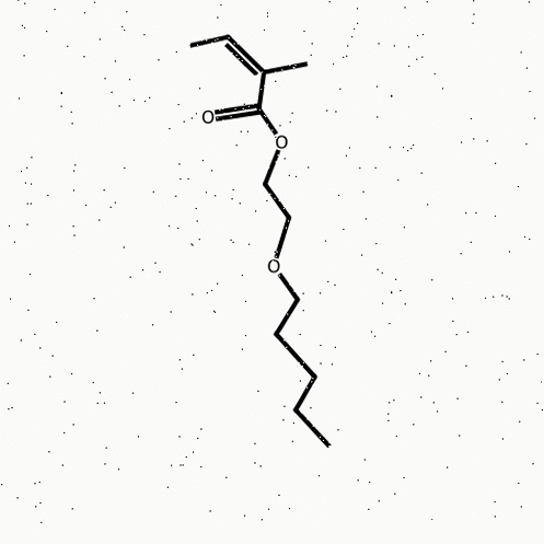 CC=C(C)C(=O)OCCOCCCCC